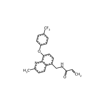 C=CC(=O)NCc1ccc(Oc2ccc(C(F)(F)F)cc2)c2nc(C)ccc12